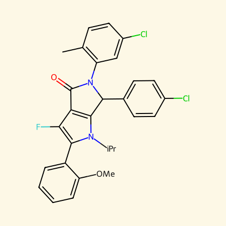 COc1ccccc1-c1c(F)c2c(n1C(C)C)C(c1ccc(Cl)cc1)N(c1cc(Cl)ccc1C)C2=O